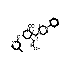 Cc1ccnc(O[C@H]2C[C@H](C(=O)NO)[C@@](C)(C(=O)N3CCN(c4ccccc4)CC3)N(C(=O)O)C2)c1